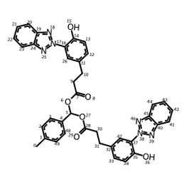 Cc1ccc(C(OC(=O)CCc2ccc(O)c(-n3nc4ccccc4n3)c2)OC(=O)CCc2ccc(O)c(-n3nc4ccccc4n3)c2)cc1